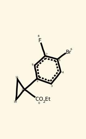 CCOC(=O)C1(c2ccc(Br)c(F)c2)CC1